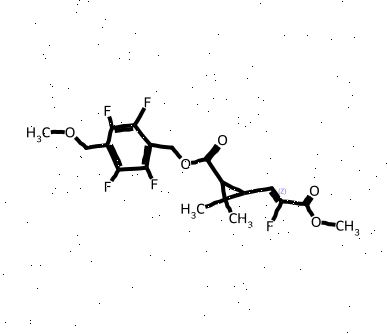 COCc1c(F)c(F)c(COC(=O)C2C(/C=C(\F)C(=O)OC)C2(C)C)c(F)c1F